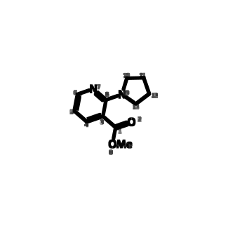 COC(=O)c1cc[c]nc1N1CCCC1